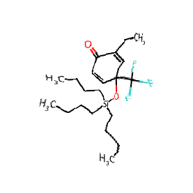 CCCC[Si](CCCC)(CCCC)OC1(C(F)(F)F)C=CC(=O)C(CC)=C1